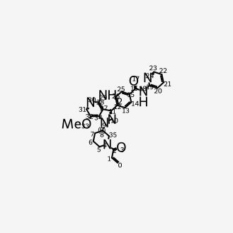 C=CC(=O)N1CCC[C@@H](n2nc(-c3ccc(C(=O)Nc4ccccn4)cc3)c3c(N)ncc(OC)c32)C1